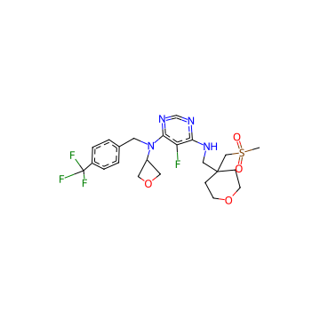 CS(=O)(=O)CC1(CNc2ncnc(N(Cc3ccc(C(F)(F)F)cc3)C3COC3)c2F)CCOCC1